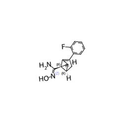 N/C(=N\O)[C@]12C3=C(c4ccccc4F)C[C@@H]1[C@H]32